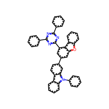 c1ccc(-c2nc(-c3ccccc3)nc(-c3cc(-c4ccc5c6ccccc6n(-c6ccccc6)c5c4)cc4oc5ccccc5c34)n2)cc1